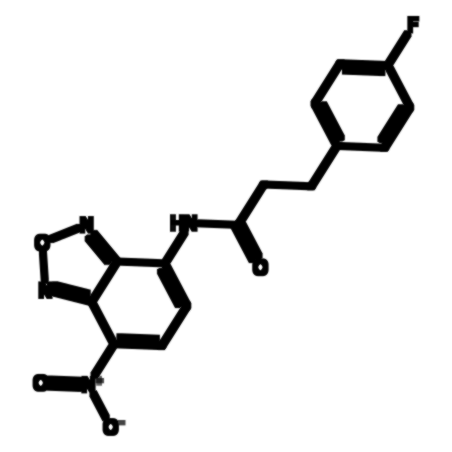 O=C(CCc1ccc(F)cc1)Nc1ccc([N+](=O)[O-])c2nonc12